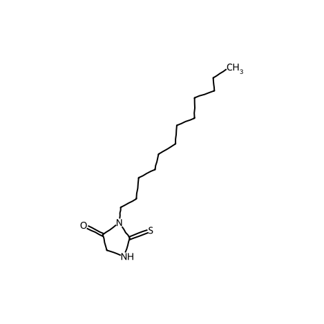 CCCCCCCCCCCCN1C(=O)CNC1=S